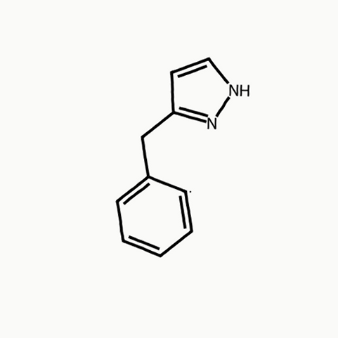 [c]1ccccc1Cc1cc[nH]n1